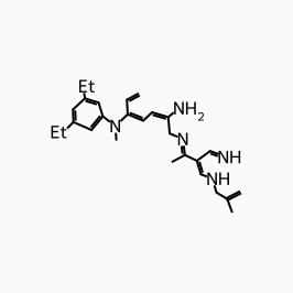 C=C/C(=C\C=C(\N)C/N=C(C)/C(C=N)=C/NCC(=C)C)N(C)c1cc(CC)cc(CC)c1